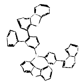 c1ccc(-c2cc(N(c3ccc(-c4cccc5ccccc45)cc3)c3cccc4sc5ccccc5c34)ccc2-c2cccc3c2sc2ccccc23)cc1